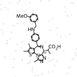 COc1cccc(CNc2ccc(C3=N[C@@H](C(C)C(=O)O)c4nnc(C)n4-c4sc(C)c(C)c43)cc2)c1